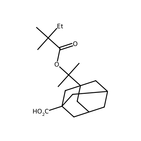 CCC(C)(C)C(=O)OC(C)(C)C12CC3CC(CC(C(=O)O)(C3)C1)C2